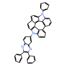 c1ccc(-c2nc3ccc(-n4c5cccc6c5c5c7c(ccc8c7c7c-6cccc7n8-c6ccccc6)ccc54)cc3nc2-c2ccccc2)cc1